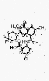 Cc1cc(C(C)Nc2ccc(Cl)nc2C(=O)O)c2oc(N3CCC(F)(F)CC3)c(C)c(=O)c2c1